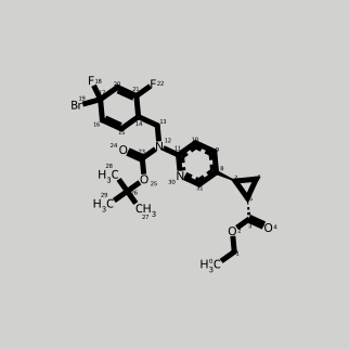 CCOC(=O)[C@H]1C[C@@H]1c1ccc(N(CC2C=CC(F)(Br)C=C2F)C(=O)OC(C)(C)C)nc1